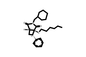 CCCCCCS[C@]12C(=O)N(CC3CCCCC3)C(=O)[C@H]1C[C@H]2c1ccccc1